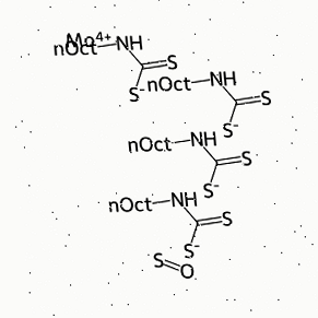 CCCCCCCCNC(=S)[S-].CCCCCCCCNC(=S)[S-].CCCCCCCCNC(=S)[S-].CCCCCCCCNC(=S)[S-].O=S.[Mo+4]